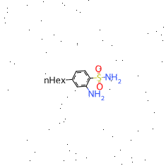 CCCCCCc1ccc(S(N)(=O)=O)c(N)c1